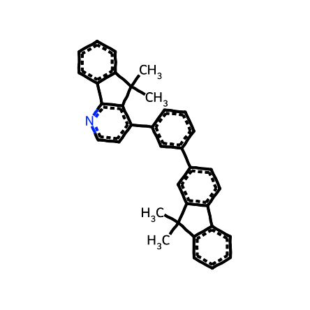 CC1(C)c2ccccc2-c2ccc(-c3cccc(-c4ccnc5c4C(C)(C)c4ccccc4-5)c3)cc21